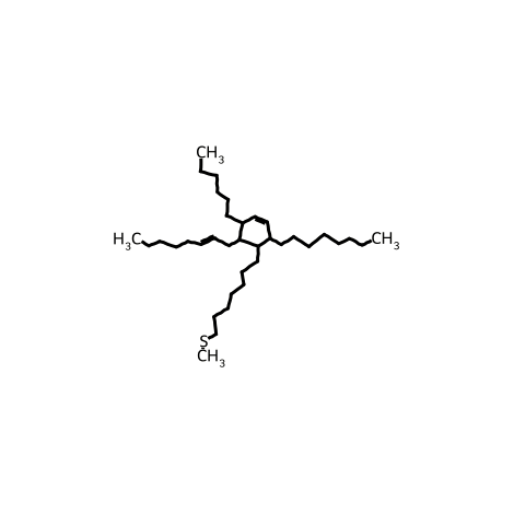 CCCCC/C=C/CC1C(CCCCCC)C=CC(CCCCCCCC)C1CCCCCCCSC